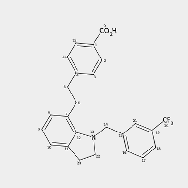 O=C(O)c1ccc(CCc2cccc3c2N(Cc2cccc(C(F)(F)F)c2)CC3)cc1